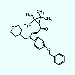 CC1(C)C(C(=O)c2cn(CC3CCOCC3)c3ccc(OCc4ccccc4)cc23)C1(C)C